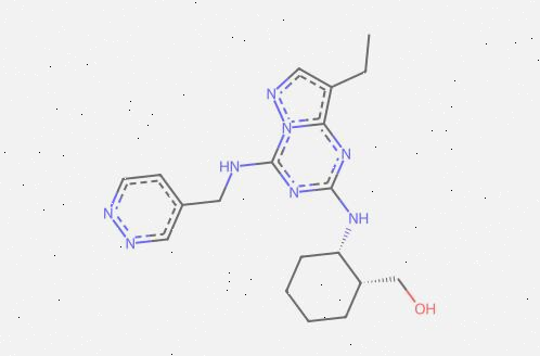 CCc1cnn2c(NCc3ccnnc3)nc(N[C@H]3CCCC[C@H]3CO)nc12